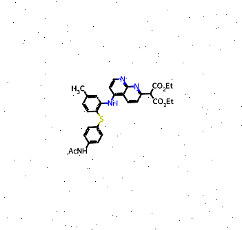 CCOC(=O)C(C(=O)OCC)c1ccc2c(Nc3cc(C)ccc3Sc3ccc(NC(C)=O)cc3)ccnc2n1